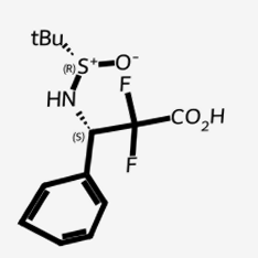 CC(C)(C)[S@+]([O-])N[C@@H](c1ccccc1)C(F)(F)C(=O)O